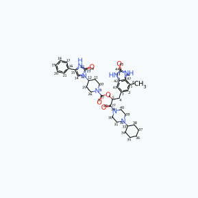 Cc1cc(CC(OC(=O)N2CCC(n3cc(-c4ccccc4)[nH]c3=O)CC2)C(=O)N2CCN(C3CCCCC3)CC2)cc2[nH]c(=O)[nH]c12